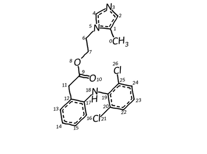 Cc1cncn1CCOC(=O)Cc1ccccc1Nc1c(Cl)cccc1Cl